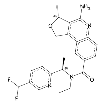 CCN(C(=O)c1ccc2nc(N)c3c(c2c1)CO[C@@H]3C)[C@H](C)c1ccc(C(F)F)cn1